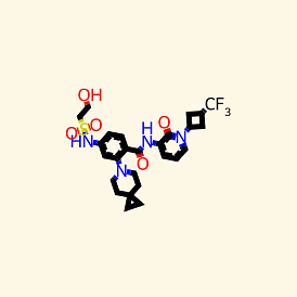 O=C(Nc1cccn(C2CC(C(F)(F)F)C2)c1=O)c1ccc(NS(=O)(=O)CCO)cc1N1CCC2(CC1)CC2